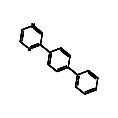 c1ccc(-c2ccc(-c3cnccn3)cc2)cc1